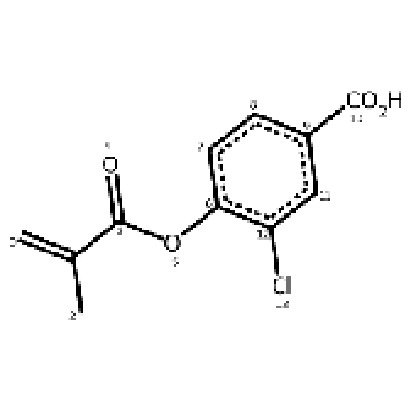 C=C(C)C(=O)Oc1ccc(C(=O)O)cc1Cl